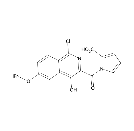 CC(C)Oc1ccc2c(Cl)nc(C(=O)n3cccc3C(=O)O)c(O)c2c1